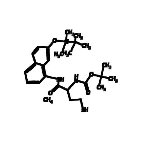 C.CC(C)(C)OC(=O)NC(CCS)C(=O)Nc1cccc2ccc(O[Si](C)(C)C(C)(C)C)cc12